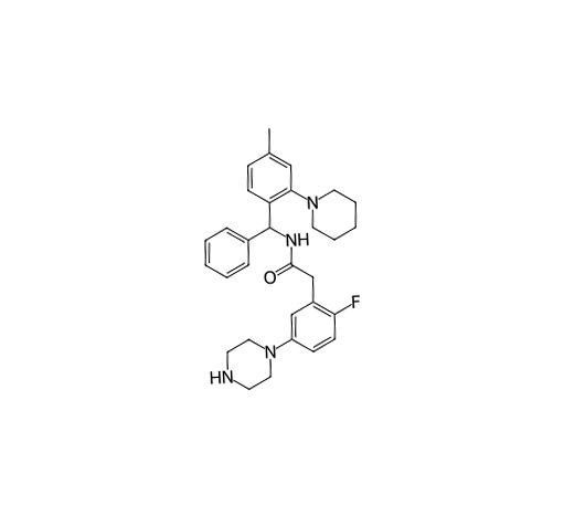 Cc1ccc(C(NC(=O)Cc2cc(N3CCNCC3)ccc2F)c2ccccc2)c(N2CCCCC2)c1